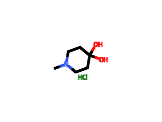 CN1CCC(O)(O)CC1.Cl